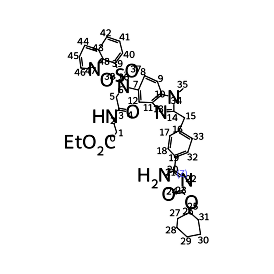 CCOC(=O)CNC(=O)CN(c1ccc2c(c1)nc(Cc1ccc(/C(N)=N/C(=O)OC3CCCCC3)cc1)n2C)S(=O)(=O)c1cccc2cccnc12